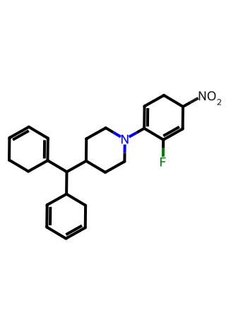 O=[N+]([O-])C1C=C(F)C(N2CCC(C(C3=CC=CCC3)C3C=CC=CC3)CC2)=CC1